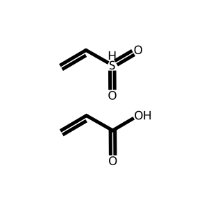 C=CC(=O)O.C=C[SH](=O)=O